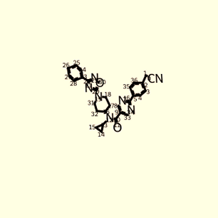 N#CCc1ccc(-c2ncc(C(=O)N(C3CC3)C3CCN(c4nc(-c5ccccc5)no4)CC3)cn2)cc1